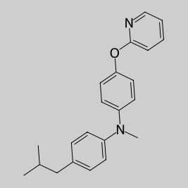 CC(C)Cc1ccc(N(C)c2ccc(Oc3ccccn3)cc2)cc1